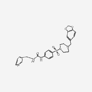 O=C(NCc1cccnc1)Nc1ccc(S(=O)(=O)N2CCN(Cc3ccc4c(c3)OCO4)CC2)cc1